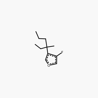 CCCC(C)(CC)c1cocc1F